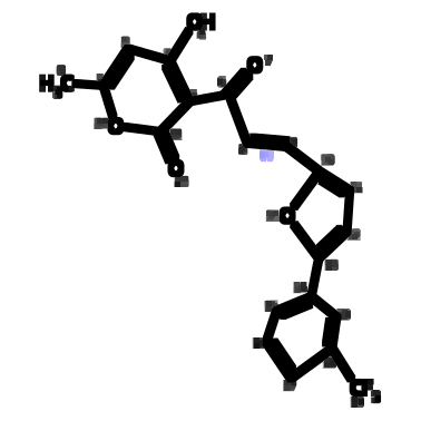 Cc1cc(O)c(C(=O)/C=C/c2ccc(-c3cccc(C(F)(F)F)c3)o2)c(=O)o1